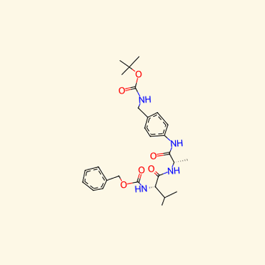 CC(C)[C@H](NC(=O)OCc1ccccc1)C(=O)N[C@@H](C)C(=O)Nc1ccc(CNC(=O)OC(C)(C)C)cc1